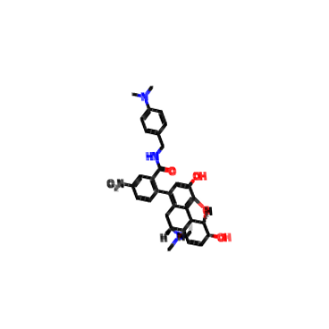 CN(C)c1ccc(CNC(=O)c2cc([N+](=O)[O-])ccc2-c2cc(O)c3c4c2C[C@@H]2[C@@H]5C=C[C@H](O)[C@H](O3)[C@]45CCN2C)cc1